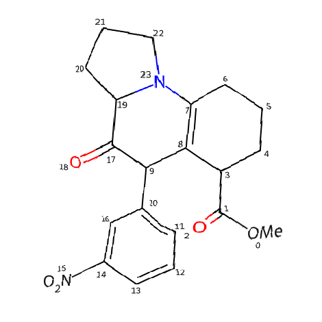 COC(=O)C1CCCC2=C1C(c1cccc([N+](=O)[O-])c1)C(=O)C1CCCN21